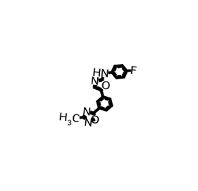 Cc1noc(-c2cccc(-c3cnc(Nc4ccc(F)cc4)o3)c2)n1